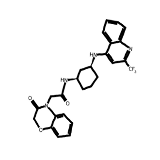 O=C(CN1C(=O)COc2ccccc21)N[C@@H]1CCC[C@H](Nc2cc(C(F)(F)F)nc3ccccc23)C1